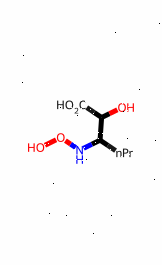 CCCC(NOO)C(O)C(=O)O